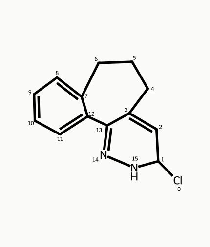 ClC1C=C2CCCc3ccccc3C2=NN1